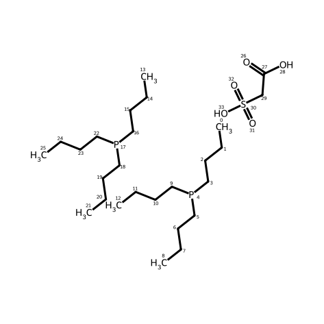 CCCCP(CCCC)CCCC.CCCCP(CCCC)CCCC.O=C(O)CS(=O)(=O)O